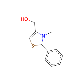 CN1C(CO)=CSC1c1ccccc1